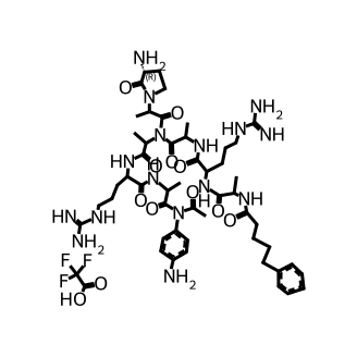 CC(=O)N(C(=O)C(C)NC(=O)C(CCCNC(=N)N)NC(=O)C(C)N(C(=O)C(C)NC(=O)C(CCCNC(=N)N)NC(=O)C(C)NC(=O)CCCCc1ccccc1)C(=O)C(C)N1CC[C@@H](N)C1=O)c1ccc(N)cc1.O=C(O)C(F)(F)F